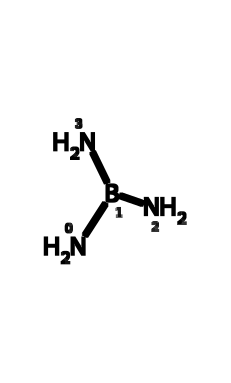 NB(N)N